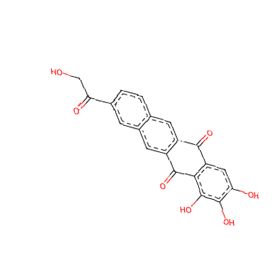 O=C(CO)c1ccc2cc3c(cc2c1)C(=O)c1c(cc(O)c(O)c1O)C3=O